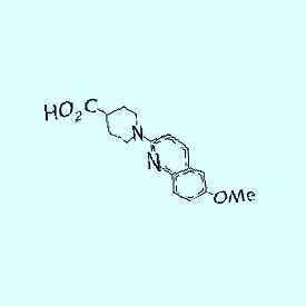 COc1ccc2nc(N3CCC(C(=O)O)CC3)ccc2c1